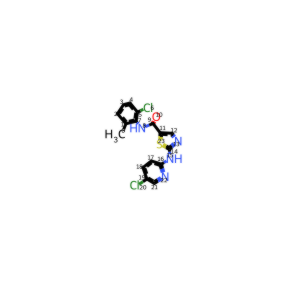 Cc1cccc(Cl)c1NC(=O)c1cnc(Nc2ccc(Cl)cn2)s1